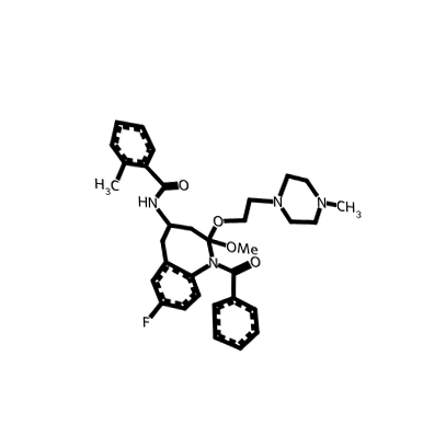 COC1(OCCN2CCN(C)CC2)CC(NC(=O)c2ccccc2C)Cc2cc(F)ccc2N1C(=O)c1ccccc1